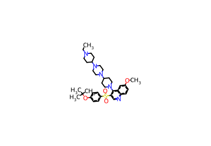 CCN1CCC(N2CCN(C3CCN(c4c(S(=O)(=O)c5ccc(OC(C)(C)C)cc5)cnc5ccc(OC)cc45)CC3)CC2)CC1